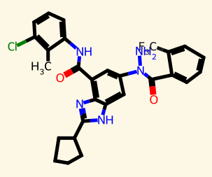 Cc1c(Cl)cccc1NC(=O)c1cc(N(N)C(=O)c2ccccc2C(F)(F)F)cc2[nH]c(C3CCCC3)nc12